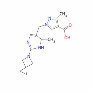 Cc1nn(CC2=CN=C(N3CC4(CC4)C3)NC2C)cc1C(=O)O